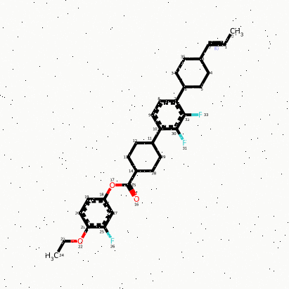 C/C=C/C1CCC(c2ccc(C3CCC(C(=O)Oc4ccc(OCC)c(F)c4)CC3)c(F)c2F)CC1